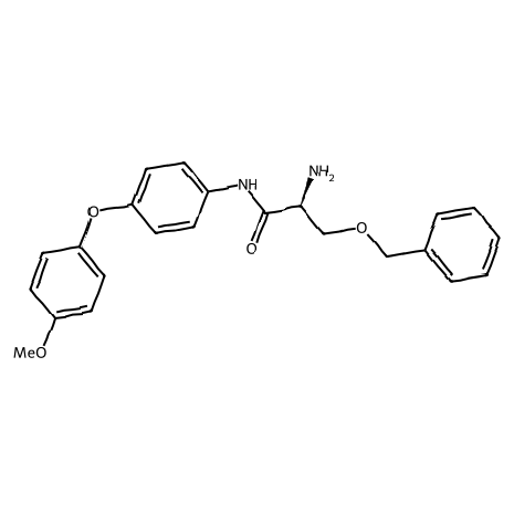 COc1ccc(Oc2ccc(NC(=O)[C@@H](N)COCc3ccccc3)cc2)cc1